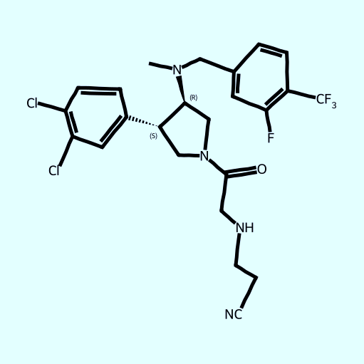 CN(Cc1ccc(C(F)(F)F)c(F)c1)[C@H]1CN(C(=O)CNCCC#N)C[C@@H]1c1ccc(Cl)c(Cl)c1